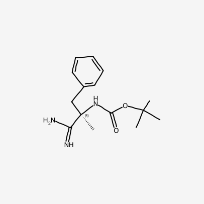 CC(C)(C)OC(=O)N[C@](C)(Cc1ccccc1)C(=N)N